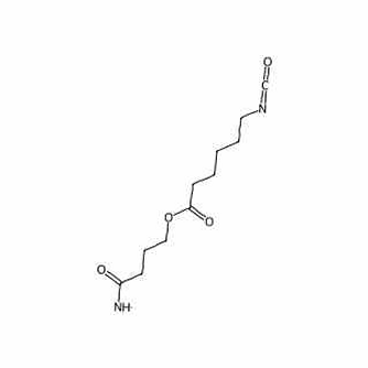 [NH]C(=O)CCCOC(=O)CCCCCN=C=O